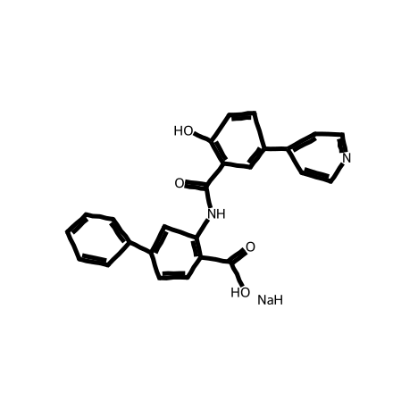 O=C(Nc1cc(-c2ccccc2)ccc1C(=O)O)c1cc(-c2ccncc2)ccc1O.[NaH]